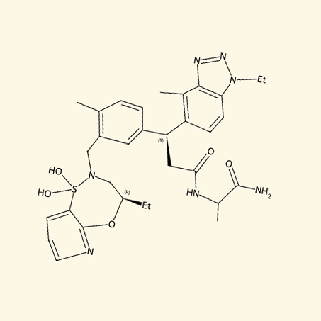 CC[C@@H]1CN(Cc2cc([C@H](CC(=O)NC(C)C(N)=O)c3ccc4c(nnn4CC)c3C)ccc2C)S(O)(O)c2cccnc2O1